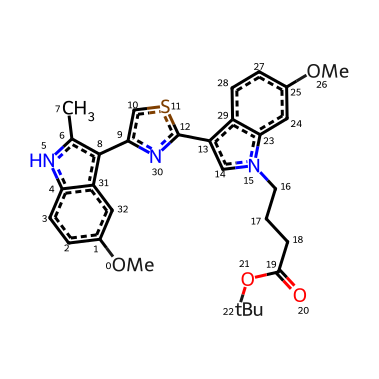 COc1ccc2[nH]c(C)c(-c3csc(-c4cn(CCCC(=O)OC(C)(C)C)c5cc(OC)ccc45)n3)c2c1